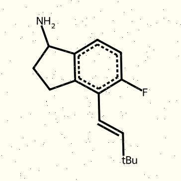 CC(C)(C)C=Cc1c(F)ccc2c1CCC2N